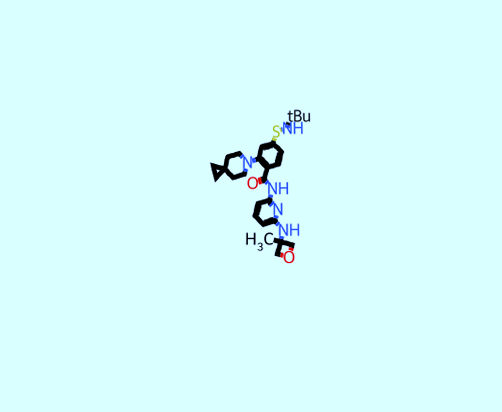 CC(C)(C)NSc1ccc(C(=O)Nc2cccc(NC3(C)COC3)n2)c(N2CCC3(CC2)CC3)c1